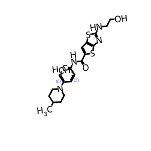 C=C(/C=C\C(=C/C)N1CCC(C)CC1)NC(=O)c1cc2sc(NCCO)nc2s1